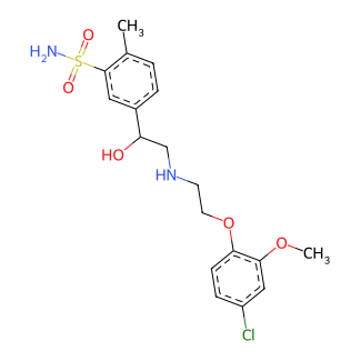 COc1cc(Cl)ccc1OCCNCC(O)c1ccc(C)c(S(N)(=O)=O)c1